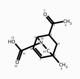 CC(=O)C1CC2(C)C=CC1N(C(=O)O)C2